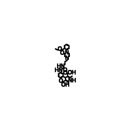 CCOC(=O)c1ccccc1N1CCN(CCCNC(=O)Nc2cccc(C3C(C(=O)O)=C(C)NC(C)=C3C(=O)O)c2)CC1